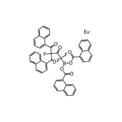 O=C(OB(OC(=O)c1cccc2ccccc12)C(F)(F)C(=O)C(F)(C(=O)c1cccc2ccccc12)C(=O)c1cccc2ccccc12)c1cccc2ccccc12.[Eu]